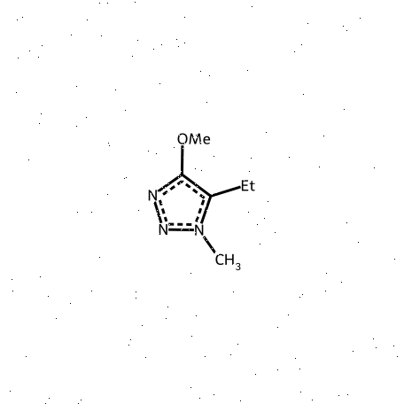 CCc1c(OC)nnn1C